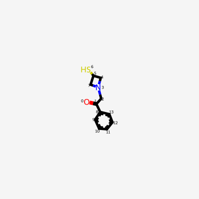 O=C(CN1CC(S)C1)c1ccccc1